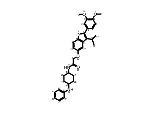 COc1ccc(-c2[nH]c3ccc(OCC(=O)NC4CCC(Nc5ccccc5)CC4)cc3c2C(C)C)cc1OC